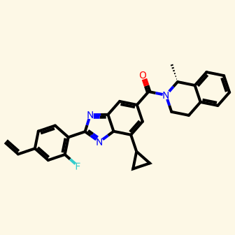 C=Cc1ccc(C2=NC3C(C4CC4)=CC(C(=O)N4CCc5ccccc5[C@H]4C)=CC3=N2)c(F)c1